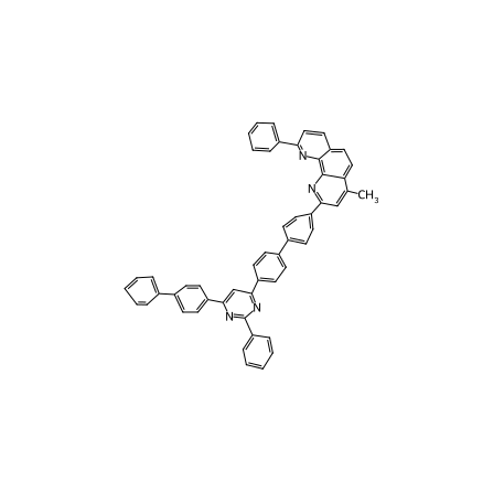 Cc1cc(-c2ccc(-c3ccc(-c4cc(-c5ccc(-c6ccccc6)cc5)nc(-c5ccccc5)n4)cc3)cc2)nc2c1ccc1ccc(-c3ccccc3)nc12